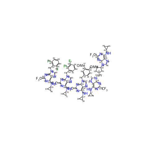 CCCn1cnc2c(NC3CC3)nc(C(F)(F)F)nc21.COc1ccc(Cn2cnc3c(NC4CC4)nc(C(F)(F)F)nc32)cc1OC.FC(F)(F)c1nc(NC2CC2)c2ncn(C3CCCC3)c2n1.Fc1cccc(Cn2cnc3c(NC4CC4)nc(C(F)(F)F)nc32)c1F.Fc1cccc(F)c1Cn1cnc2c(NC3CC3)nc(C(F)(F)F)nc21